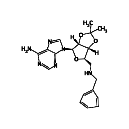 CC1(C)O[C@@H]2[C@H](O1)[C@@H](CNCc1ccccc1)O[C@H]2n1cnc2c(N)ncnc21